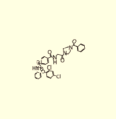 O=C(NCC(=O)N1CCN(C(=O)c2ccccc2)CC1)c1ccc(S(=O)(=O)Nc2ccccc2Oc2ccc(Cl)cc2Cl)cc1